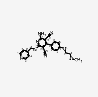 COCCOc1ccc(-c2c(C#N)c(N)nc(SCc3ccncc3)c2C#N)cc1